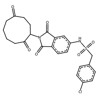 O=C1CCCCC(=O)C(N2C(=O)c3ccc(NS(=O)(=O)Cc4ccc(Cl)cc4)cc3C2=O)CC1